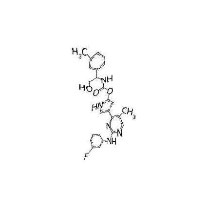 Cc1cccc(C(CO)NC(=O)Oc2cc(-c3nc(Nc4cccc(F)c4)ncc3C)c[nH]2)c1